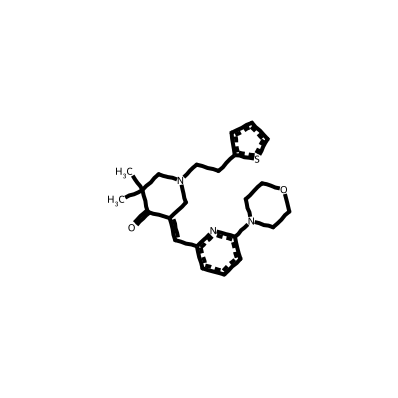 CC1(C)CN(CCc2cccs2)C/C(=C\c2cccc(N3CCOCC3)n2)C1=O